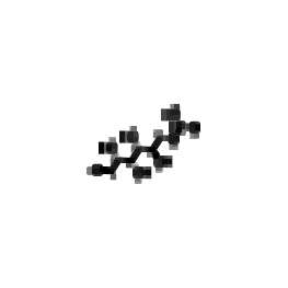 O=C[C@H](O)[C@@H](O)[C@H](O)[C@H](O)CO[PH](=O)O